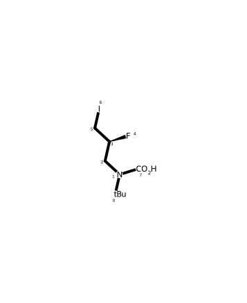 CC(C)(C)N(C[C@H](F)CI)C(=O)O